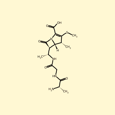 CSC1=C(C(=O)O)N2C(=O)[C@H]([C@@H](C)NC(=O)CNC(=O)[C@H](C)N)[C@H]2[C@H]1C